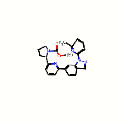 CC(C)(C)OC(=O)N1CCCC1c1cccc(-c2ccc3cnn(-c4cccc(C(F)(F)F)n4)c3c2)n1